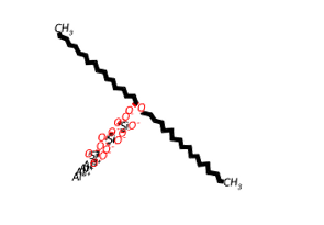 CCCCCCCCCCCCCCCCCCOC(=O)CCCCCCCCCCCCCCCCC.[Al+3].[Al+3].[Al+3].[Al+3].[O-][Si]([O-])([O-])[O-].[O-][Si]([O-])([O-])[O-].[O-][Si]([O-])([O-])[O-]